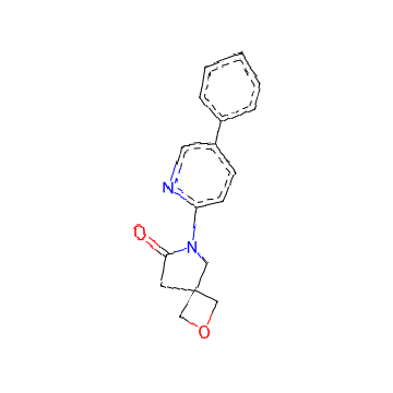 O=C1CC2(COC2)CN1c1ccc(-c2ccccc2)cn1